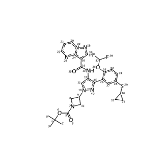 CC(C)(C)OC(=O)N1CC(n2cc(NC(=O)c3cnn4cccnc34)c(-c3cc(SC4CC4)ccc3OC(F)F)n2)C1